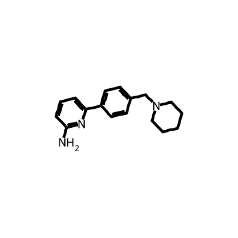 Nc1cccc(-c2ccc(CN3CCCCC3)cc2)n1